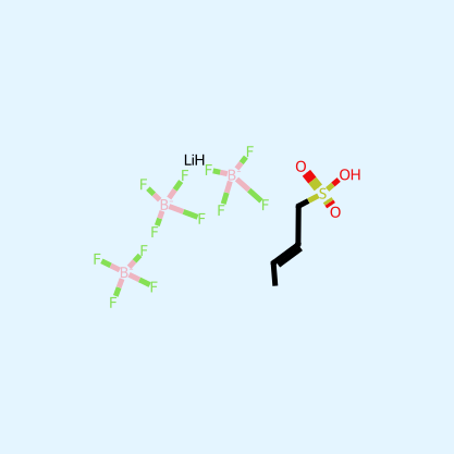 CC=CCS(=O)(=O)O.F[B-](F)(F)F.F[B-](F)(F)F.F[B-](F)(F)F.[LiH]